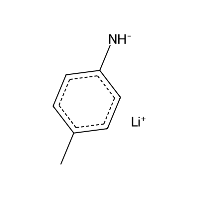 Cc1ccc([NH-])cc1.[Li+]